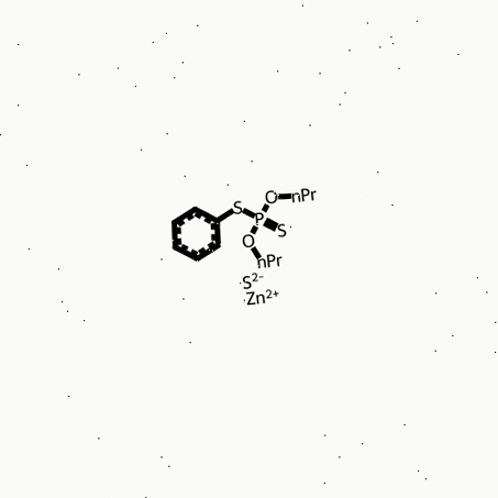 CCCOP(=S)(OCCC)Sc1ccccc1.[S-2].[Zn+2]